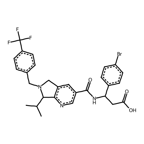 CC(C)C1c2ncc(C(=O)NC(CC(=O)O)c3ccc(Br)cc3)cc2CN1Cc1ccc(C(F)(F)F)cc1